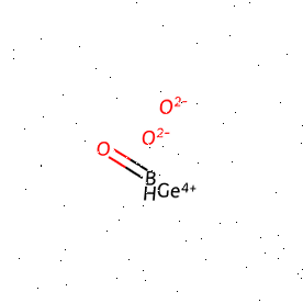 B=O.[Ge+4].[O-2].[O-2]